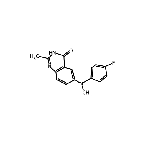 Cc1nc2ccc(N(C)c3ccc(F)cc3)cc2c(=O)[nH]1